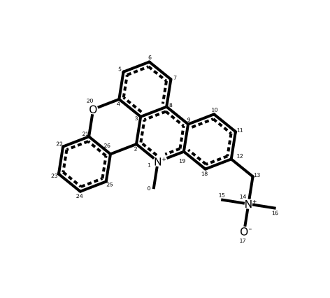 C[n+]1c2c3c(cccc3c3ccc(C[N+](C)(C)[O-])cc31)Oc1ccccc1-2